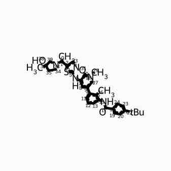 C=C(c1cnc(Nc2cc(-c3cccc(NC(=O)c4ccc(C(C)(C)C)cc4)c3C)cn(C)c2=O)s1)N1CCC(C)(O)C1